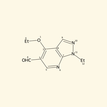 CCOc1c(C=O)cnc2c1cnn2CC